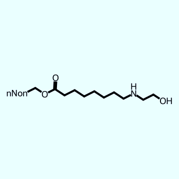 CCCCCCCCCCOC(=O)CCCCCCCNCCO